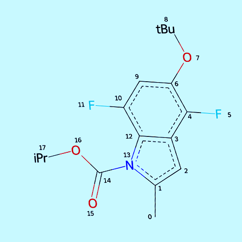 Cc1cc2c(F)c(OC(C)(C)C)cc(F)c2n1C(=O)OC(C)C